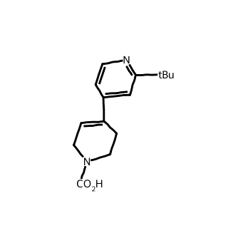 CC(C)(C)c1cc(C2=CCN(C(=O)O)CC2)ccn1